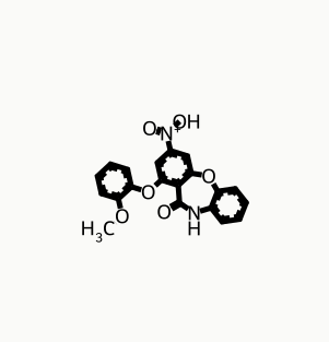 COc1ccccc1Oc1cc([N+](=O)O)cc2c1C(=O)Nc1ccccc1O2